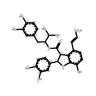 O=C(O)/C=C/c1ccc(O)c2c1C(C(=O)OC(Cc1ccc(O)c(O)c1)C(O)O)C(c1ccc(O)c(O)c1)O2